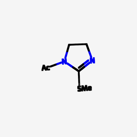 CSC1=NCCN1C(C)=O